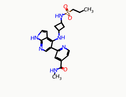 CCCS(=O)(=O)NC1CC(Nc2c(-c3cc(C(=O)NC)ccn3)cnc3[nH]ccc23)C1